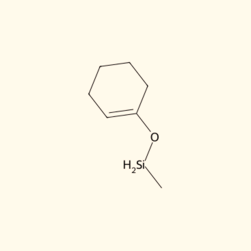 C[SiH2]OC1=CCCCC1